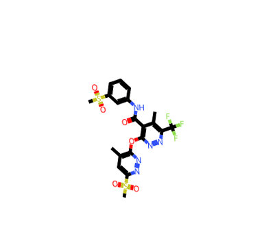 Cc1cc(S(C)(=O)=O)nnc1Oc1nnc(C(F)(F)F)c(C)c1C(=O)Nc1cccc(S(C)(=O)=O)c1